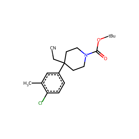 Cc1cc(C2(CC#N)CCN(C(=O)OC(C)(C)C)CC2)ccc1Cl